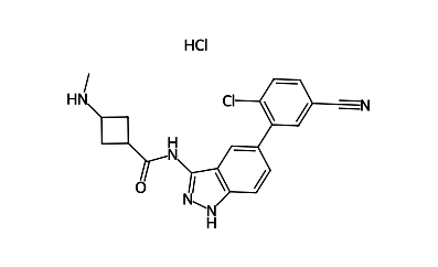 CNC1CC(C(=O)Nc2n[nH]c3ccc(-c4cc(C#N)ccc4Cl)cc23)C1.Cl